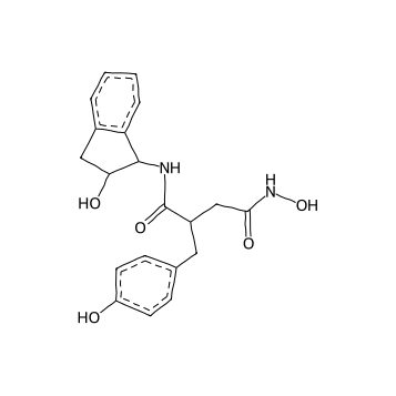 O=C(CC(Cc1ccc(O)cc1)C(=O)NC1c2ccccc2CC1O)NO